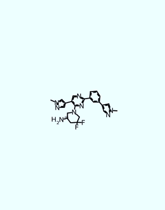 Cn1cc(-c2cccc(-c3ncc(-c4cnn(C)c4)c(N4C[C@H](N)CC(F)(F)C4)n3)c2)cn1